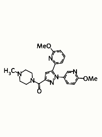 COc1ccc(-n2nc(C(=O)N3CCN(C)CC3)cc2-c2cccc(OC)n2)cn1